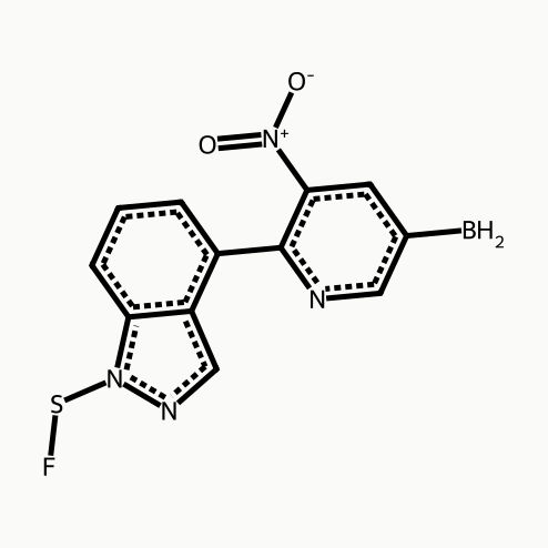 Bc1cnc(-c2cccc3c2cnn3SF)c([N+](=O)[O-])c1